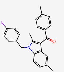 Cc1ccc(C(=O)c2c(C)n(Cc3ccc(I)cc3)c3ccc(C)cc23)cc1